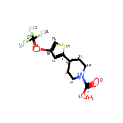 O=C(O)N1CCC(c2cc(OC(F)(F)F)cs2)CC1